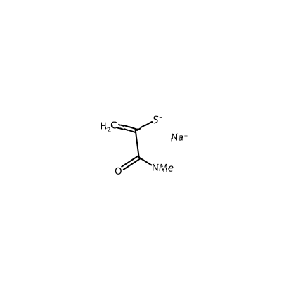 C=C([S-])C(=O)NC.[Na+]